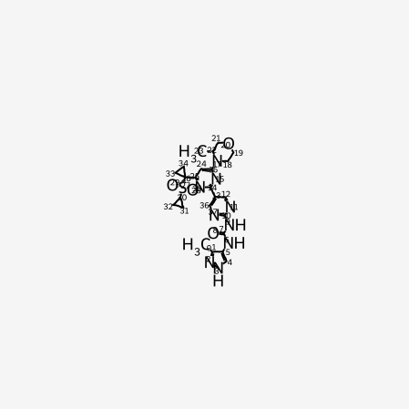 Cc1n[nH]cc1NC(=O)Nc1ncc(-c2nc(N3CCOC[C@@H]3C)cc(C3(S(=O)(=O)C4CC4)CC3)n2)cn1